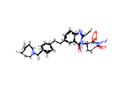 Cc1nc2ccc(CCc3ccc(CN4CCCCCC4)cc3)cc2c(=O)n1C1CCC(=O)NC1=O